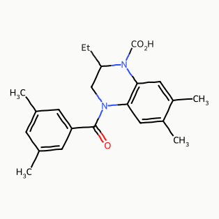 CCC1CN(C(=O)c2cc(C)cc(C)c2)c2cc(C)c(C)cc2N1C(=O)O